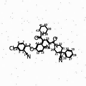 N#Cc1cc(Cl)ccc1COc1ccc2nc(C(=O)N3CCC(C#N)(c4ccccc4)CC3)cc(C(=O)N3CCCCC3)c2c1